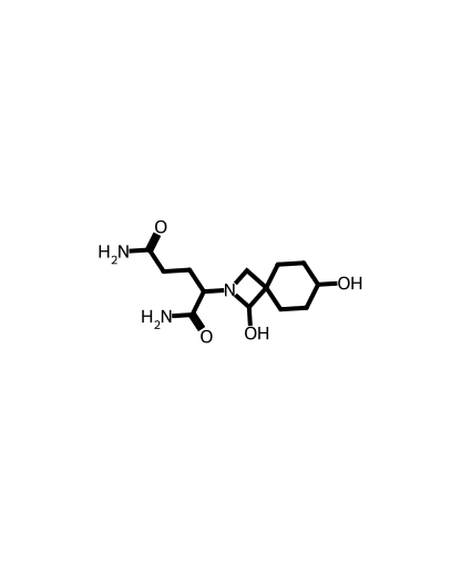 NC(=O)CCC(C(N)=O)N1CC2(CCC(O)CC2)C1O